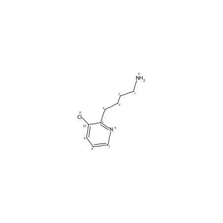 NCCCCc1ncccc1Cl